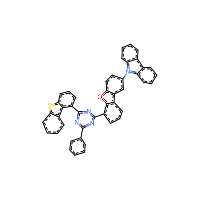 c1ccc(-c2nc(-c3cccc4c3oc3ccc(-n5c6ccccc6c6ccccc65)cc34)nc(-c3cccc4sc5ccccc5c34)n2)cc1